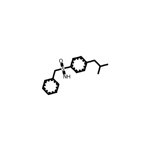 CC(C)Cc1ccc(S(=N)(=O)Cc2ccccc2)cc1